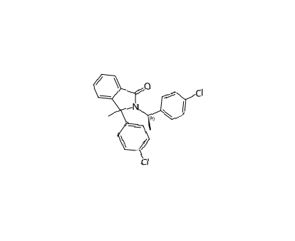 C[C@H](c1ccc(Cl)cc1)N1C(=O)c2ccccc2C1(C)c1ccc(Cl)cc1